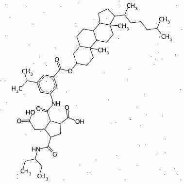 CCC(CC)NC(=O)C1CC(C(=O)O)C(C(=O)Nc2cc(C(=O)OC3CCC4(C)C(CCC5C4CCC4(C)C(C(C)CCCC(C)C)CCC54)C3)cc(C(C)C)c2)C1CC(=O)O